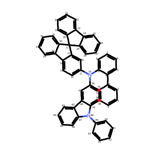 c1ccc(-c2ccccc2N(c2ccc3c(c2)C2(c4ccccc4-c4ccccc42)c2ccccc2-3)c2ccc3c(c2)c2ccccc2n3-c2ccccc2)cc1